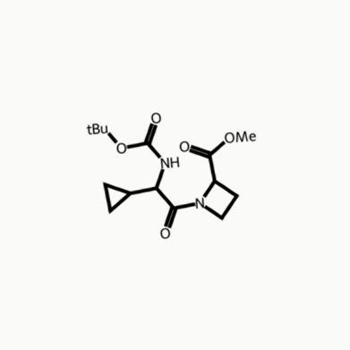 COC(=O)C1CCN1C(=O)C(NC(=O)OC(C)(C)C)C1CC1